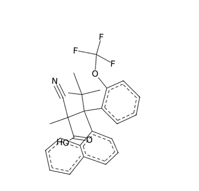 CC(C)(C)C(c1ccccc1OC(F)(F)F)(c1cccc2ccccc12)C(C)(C#N)C(=O)O